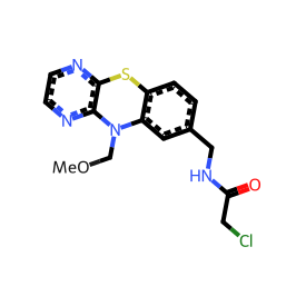 COCN1c2cc(CNC(=O)CCl)ccc2Sc2nccnc21